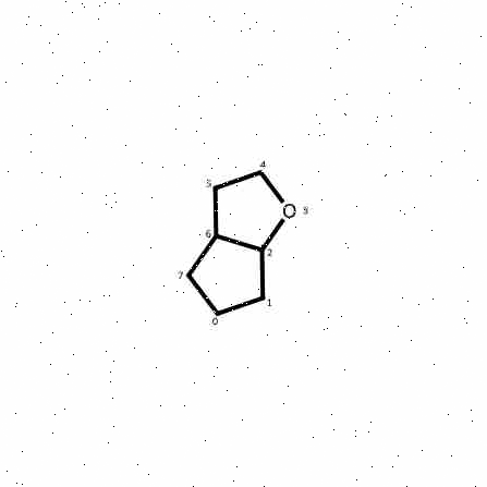 C1C[C]2OCCC2C1